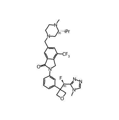 CC(C)[C@@H]1CN(Cc2cc3c(c(C(F)(F)F)c2)CN(c2cccc(C4([C@@H](F)c5nncn5C)COC4)c2)C3=O)CCN1C